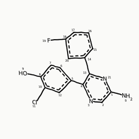 Nc1cnc(-c2ccc(O)c(Cl)c2)c(-c2cccc(F)c2)n1